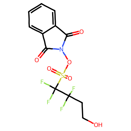 O=C1c2ccccc2C(=O)N1OS(=O)(=O)C(F)(F)C(F)(F)CCO